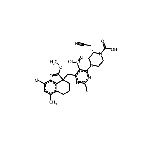 COC(=O)C1(Cc2nc(Cl)nc(N3CCN(C(=O)O)[C@@H](CC#N)C3)c2[N+](=O)[O-])CCCc2c(C)cc(Cl)cc21